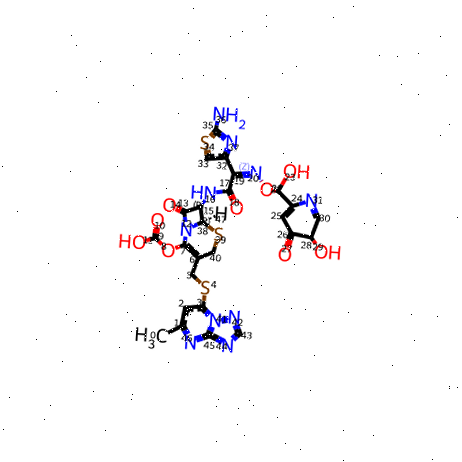 Cc1cc(SCC2=C(OC(=O)O)N3C(=O)[C@@H](NC(=O)/C(=N\OC(O)C4=CC(=O)C(O)C=N4)c4csc(N)n4)[C@H]3SC2)n2ncnc2n1